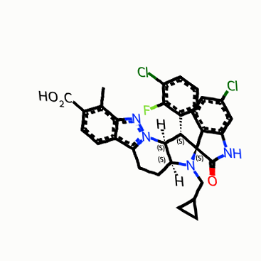 Cc1c(C(=O)O)ccc2c3n(nc12)[C@@H]1[C@H](CC3)N(CC2CC2)[C@@]2(C(=O)Nc3cc(Cl)ccc32)[C@H]1c1cccc(Cl)c1F